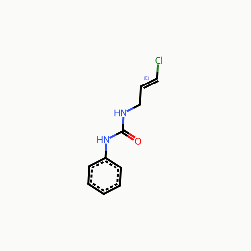 O=C(NC/C=C/Cl)Nc1ccccc1